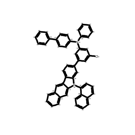 Clc1cc(-c2ccc3c4cc5ccccc5cc4n(-c4cccc5ccccc45)c3c2)cc(N(c2ccccc2)c2ccc(-c3ccccc3)cc2)c1